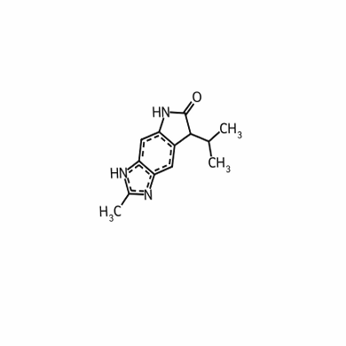 Cc1nc2cc3c(cc2[nH]1)NC(=O)C3C(C)C